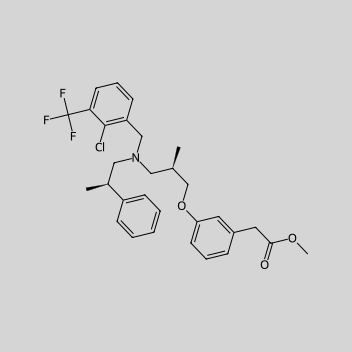 COC(=O)Cc1cccc(OC[C@H](C)CN(Cc2cccc(C(F)(F)F)c2Cl)C[C@H](C)c2ccccc2)c1